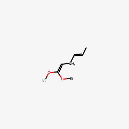 CC=C[SiH2]C=C(OCC)OCC